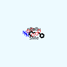 CCCCOC1[C@H](OCCCC)C(COC(=O)c2ccccc2)O[C@@H](SC)[C@H]1N=[N+]=[N-]